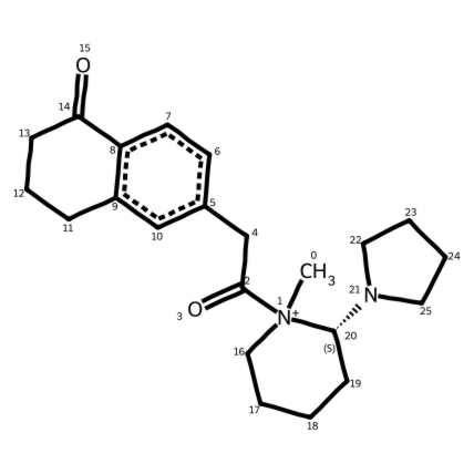 C[N+]1(C(=O)Cc2ccc3c(c2)CCCC3=O)CCCC[C@H]1N1CCCC1